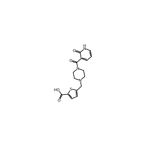 O=C(O)c1ccc(CN2CCN(C(=O)c3ccc[nH]c3=O)CC2)s1